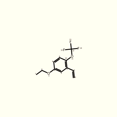 C=[C]c1cc(OCC)ccc1OC(F)(F)F